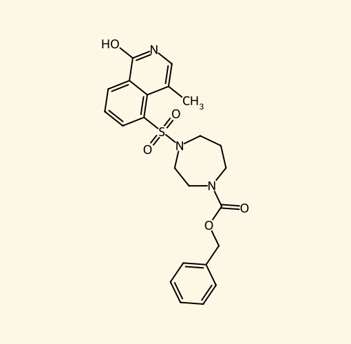 Cc1cnc(O)c2cccc(S(=O)(=O)N3CCCN(C(=O)OCc4ccccc4)CC3)c12